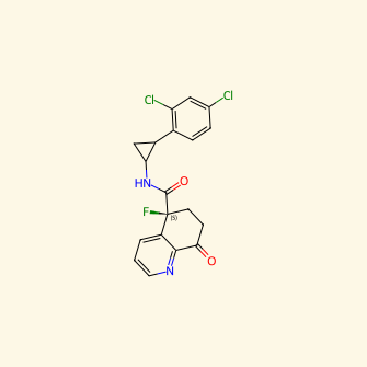 O=C1CC[C@@](F)(C(=O)NC2CC2c2ccc(Cl)cc2Cl)c2cccnc21